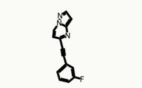 Fc1cccc(C#Cc2ccn3nccc3n2)c1